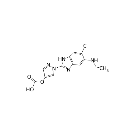 CCNc1cc2nc(-n3cc(OC(=O)O)cn3)[nH]c2cc1Cl